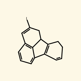 IC1=Cc2cccc3c2C(C1)C1=C3C=CCC1